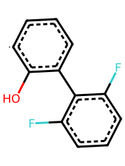 Oc1[c]cccc1-c1c(F)cccc1F